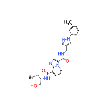 Cc1cccc(-n2cc(CNC(=O)c3cnc4c(C(=O)NC(CO)CC(C)C)cccn34)cn2)c1